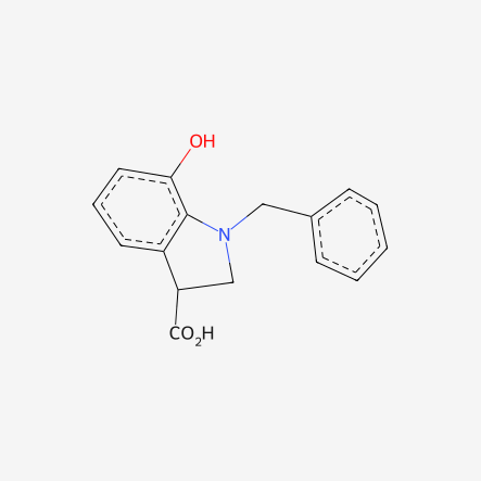 O=C(O)C1CN(Cc2ccccc2)c2c(O)cccc21